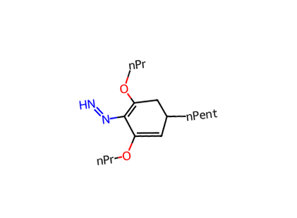 CCCCCC1C=C(OCCC)C(N=N)=C(OCCC)C1